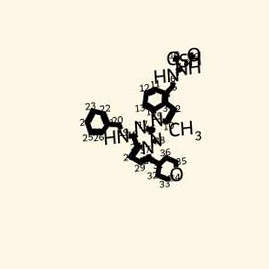 Cc1cc2c(CNN[SH](=O)=O)cccc2n1-c1nc(NCc2ccccc2)c2ccc(C3CCOCC3)n2n1